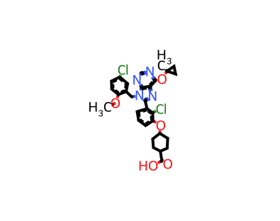 COc1ccc(Cl)cc1Cn1c(-c2cccc(OC3CCC(C(=O)O)CC3)c2Cl)nc2c(OC3(C)CC3)ncnc21